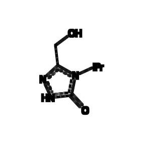 CC(C)n1c(CO)n[nH]c1=O